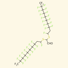 O=CC(SC(F)CC(F)(F)C(F)(F)C(F)(F)C(F)(F)C(F)(F)C(F)(F)C(F)(F)C(F)(F)F)SC(F)CC(F)(F)C(F)(F)C(F)(F)C(F)(F)C(F)(F)C(F)(F)C(F)(F)C(F)(F)F